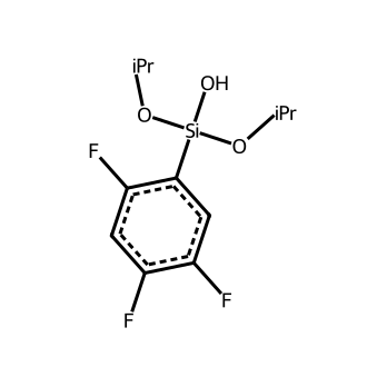 CC(C)O[Si](O)(OC(C)C)c1cc(F)c(F)cc1F